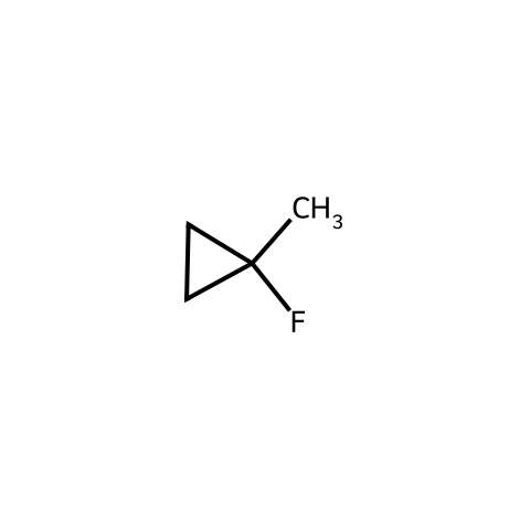 CC1(F)CC1